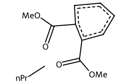 CCCC.COC(=O)c1ccccc1C(=O)OC